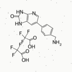 NCc1ccc(-c2cnc3[nH]c(=O)[nH]c3c2)cc1.O=C(O)C(F)(F)F.O=C(O)C(F)(F)F